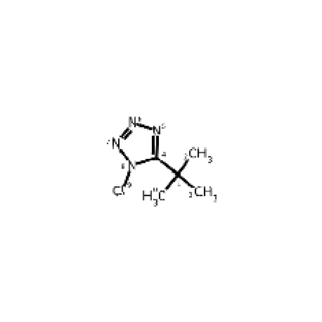 CC(C)(C)c1nnnn1Cl